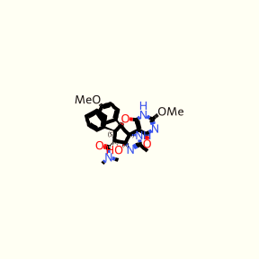 COc1ccc([C@@]23Oc4[nH]c(OC)nc(=O)c4[C@@]24NC(C)=N[C@@]4(O)[C@H](C(=O)N(C)C)[C@H]3c2ccccc2)cc1